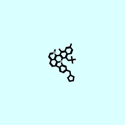 Cc1ccc2c(CC(C)(C)C)c3c(c(C)c2c1)c1c2c(ccc4c5ccc(CC6CCCC6)cc5n3c42)cc[n+]1C